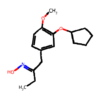 CCC(Cc1ccc(OC)c(OC2CCCC2)c1)=NO